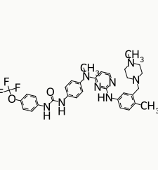 Cc1ccc(Nc2nccc(N(C)c3ccc(NC(=O)Nc4ccc(OC(F)(F)F)cc4)cc3)n2)cc1CN1CCN(C)CC1